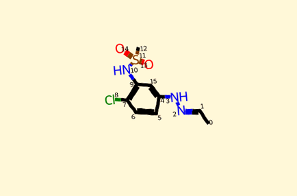 CC=NNc1ccc(Cl)c(NS(C)(=O)=O)c1